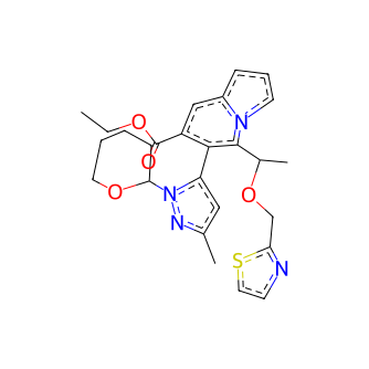 CCOC(=O)c1cc2cccn2c(C(C)OCc2nccs2)c1-c1cc(C)nn1C1CCCCO1